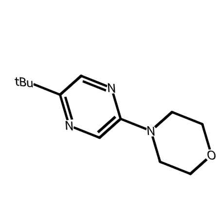 CC(C)(C)c1cnc(N2CCOCC2)cn1